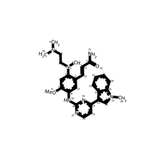 COc1cc(N(C)CCN(C)C)c(C=CC(N)=O)cc1Nc1nccc(-c2cn(C)c3ccccc23)n1